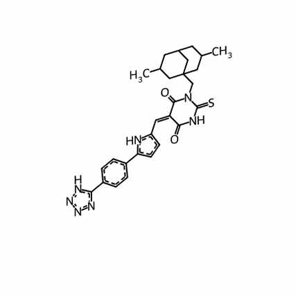 CC1CC2CC(C)CC(CN3C(=O)/C(=C/c4ccc(-c5ccc(-c6nnn[nH]6)cc5)[nH]4)C(=O)NC3=S)(C1)C2